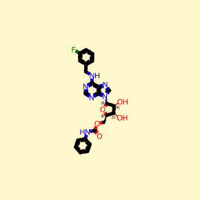 O=C(Nc1ccccc1)OC[C@H]1O[C@@H](n2cnc3c(NCc4cccc(F)c4)ncnc32)[C@H](O)[C@@H]1O